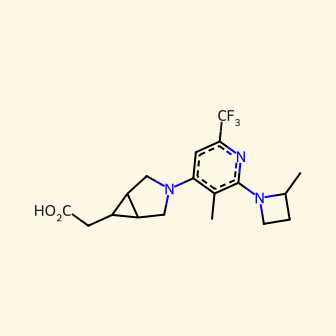 Cc1c(N2CC3C(CC(=O)O)C3C2)cc(C(F)(F)F)nc1N1CCC1C